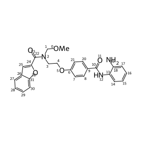 COCN(CCOc1ccc(C(=O)Nc2ccccc2N)cc1)C(=O)c1cc2ccccc2o1